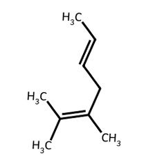 CC=CCC(C)=C(C)C